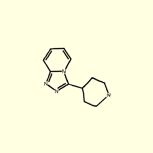 c1ccn2c(C3CC[N]CC3)nnc2c1